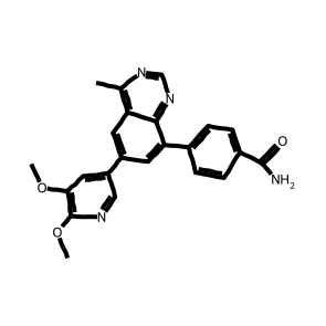 COc1cc(-c2cc(-c3ccc(C(N)=O)cc3)c3ncnc(C)c3c2)cnc1OC